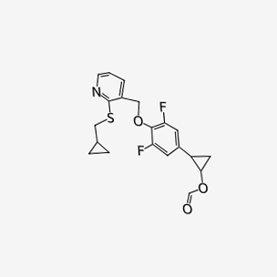 O=COC1CC1c1cc(F)c(OCc2cccnc2SCC2CC2)c(F)c1